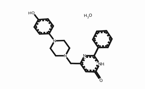 O.O=c1cc(CN2CCN(c3ccc(O)cc3)CC2)nc(-c2ccccc2)[nH]1